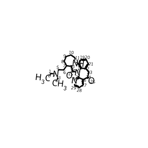 CCN(CC)CCC1CCCCNC1C(=O)N1c2ccccc2CC(=O)c2cccnc21